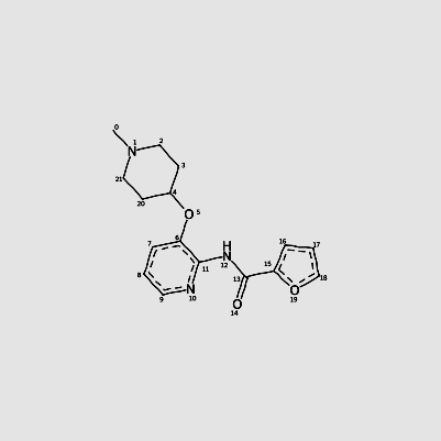 CN1CCC(Oc2cccnc2NC(=O)c2ccco2)CC1